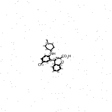 CN1CCC(Nc2ccc(Cl)cc2C(=NCC(=O)O)c2ccccc2Cl)CC1